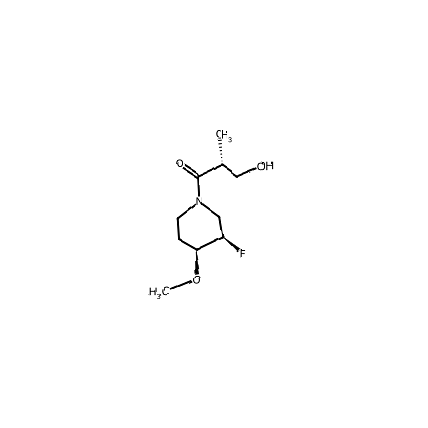 CO[C@H]1CCN(C(=O)[C@H](C)CO)C[C@H]1F